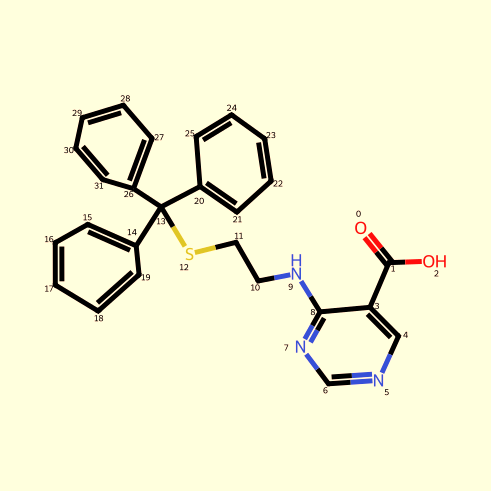 O=C(O)c1cncnc1NCCSC(c1ccccc1)(c1ccccc1)c1ccccc1